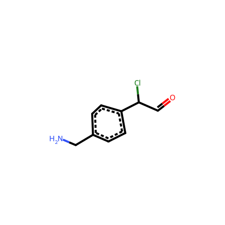 NCc1ccc(C(Cl)C=O)cc1